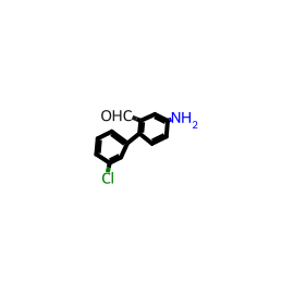 Nc1ccc(-c2cccc(Cl)c2)c(C=O)c1